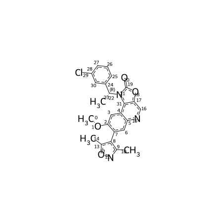 COc1cc2c(cc1-c1c(C)noc1C)ncc1oc(=O)n([C@H](C)c3cccc(Cl)c3)c12